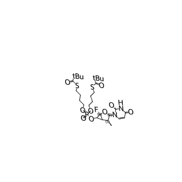 C[C@H]1C2C(OP(=O)(OCCCCSC(=O)C(C)(C)C)OCCCCSC(=O)C(C)(C)C)[C@@]2(F)O[C@H]1n1ccc(=O)[nH]c1=O